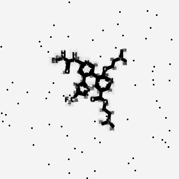 CCNC(=O)Nc1cc(-c2nc(C(F)(F)F)cs2)c(-c2cc(C(=O)OCCN(C)C)cnc2OCCN(C)C)cn1